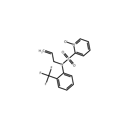 C=CCN(c1ccccc1C(F)(F)F)S(=O)(=O)c1cccc[n+]1[O-]